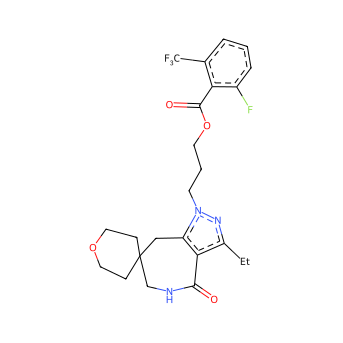 CCc1nn(CCCOC(=O)c2c(F)cccc2C(F)(F)F)c2c1C(=O)NCC1(CCOCC1)C2